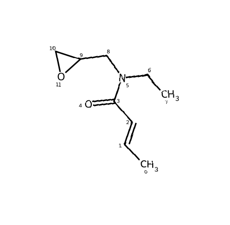 C/C=C/C(=O)N(CC)CC1CO1